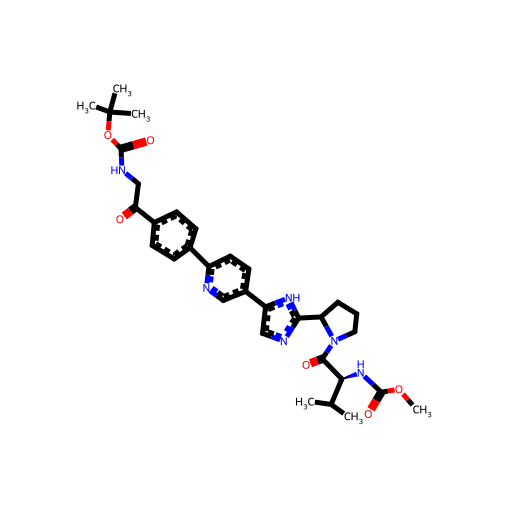 COC(=O)N[C@H](C(=O)N1CCCC1c1ncc(-c2ccc(-c3ccc(C(=O)CNC(=O)OC(C)(C)C)cc3)nc2)[nH]1)C(C)C